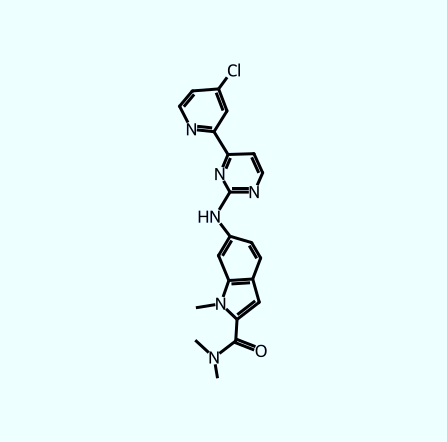 CN(C)C(=O)c1cc2ccc(Nc3nccc(-c4cc(Cl)ccn4)n3)cc2n1C